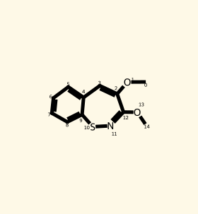 COC1=Cc2ccccc2SN=C1OC